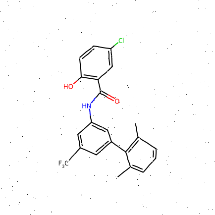 Cc1cccc(C)c1-c1cc(NC(=O)c2cc(Cl)ccc2O)cc(C(F)(F)F)c1